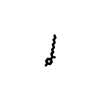 CCCCCCCC=CC(C)c1ccc(C)cc1